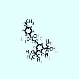 COc1ccc([Si](C)(C)COc2cc(C(C)(C)C)c(O)c(C(C)(C)C)c2)cc1